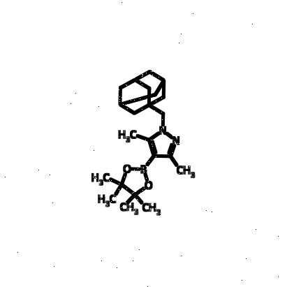 Cc1nn(CC23CC4CC(CC(C4)C2)C3)c(C)c1B1OC(C)(C)C(C)(C)O1